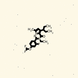 CCC(CC)c1cc(C)n2nc(-c3ccc(OC(F)F)cc3F)n(CC)c(=O)c12